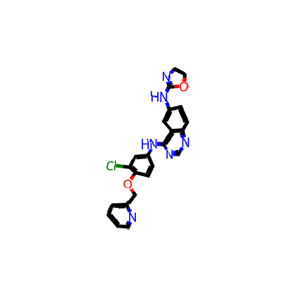 Clc1cc(Nc2ncnc3ccc(NC4=NCCO4)cc23)ccc1OCc1ccccn1